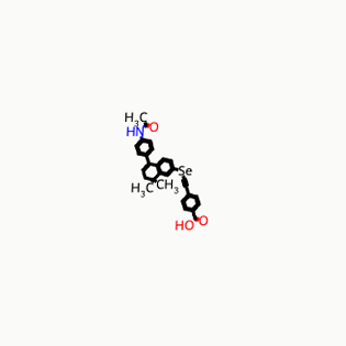 CC(=O)Nc1ccc(C2=CCC(C)(C)c3cc([Se]C#Cc4ccc(C(=O)O)cc4)ccc32)cc1